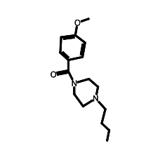 CCCCN1CCN(C(=O)c2ccc(OC)cc2)CC1